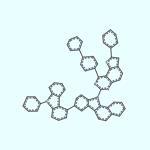 c1ccc(-c2ccc(-c3nc(-n4c5ccc(-c6cccc7c6c6ccccc6n7-c6ccccc6)cc5c5ccc6ccccc6c54)nc4ccc5cc(-c6ccccc6)sc5c34)cc2)cc1